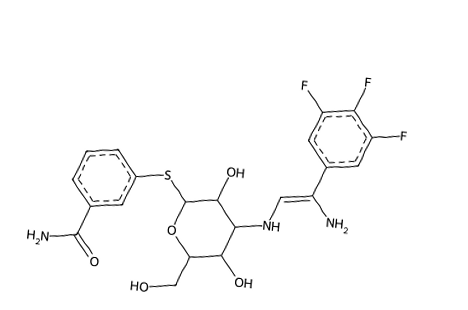 NC(=O)c1cccc(SC2OC(CO)C(O)C(N/C=C(\N)c3cc(F)c(F)c(F)c3)C2O)c1